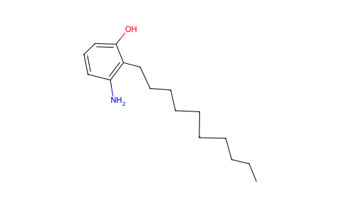 CCCCCCCCCCc1c(N)cccc1O